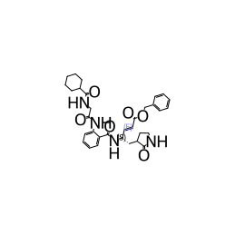 O=C(CNC(=O)C1CCCCC1)Nc1ccccc1C(=O)N[C@H](/C=C/C(=O)OCc1ccccc1)CC1CCNC1=O